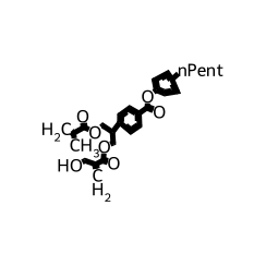 C=C(C)C(=O)OCC(COC(=O)C(=C)CO)c1ccc(C(=O)Oc2ccc(CCCCC)cc2)cc1